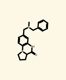 CN(Cc1ccccc1)Cc1ccc2c(c1)NC(=O)C1CCCN21